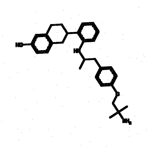 CC(Cc1ccc(OCC(C)(C)N)cc1)Nc1ccccc1C1CCc2cc(O)ccc2C1